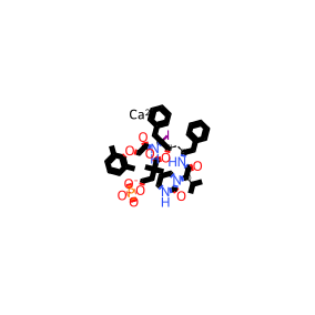 Cc1cccc(C)c1OCC(=O)N[C@](I)(Cc1ccccc1)[C@H](C[C@H](Cc1ccccc1)NC(=O)[C@H](C(C)C)N1CCCNC1=O)OC(=O)C(C)(C)CCOP(=O)([O-])[O-].[Ca+2]